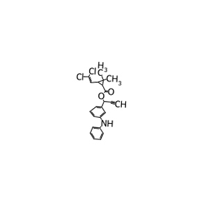 C#CC(OC(=O)C1C(C=C(Cl)Cl)C1(C)C)c1cccc(Nc2ccccc2)c1